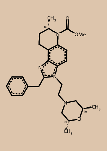 COC(=O)N1c2ccc3c(nc(Cc4ccccc4)n3CCN3C[C@@H](C)O[C@H](C)C3)c2CC[C@@H]1C